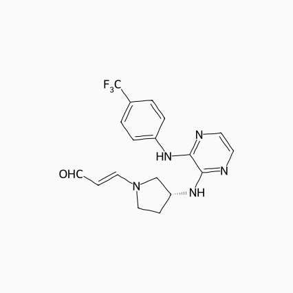 O=CC=CN1CC[C@@H](Nc2nccnc2Nc2ccc(C(F)(F)F)cc2)C1